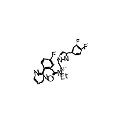 CCN(C(=O)c1cc(F)ccc1-c1ncccn1)[C@@H](C)Cn1ccc(-c2ccc(F)c(F)c2)n1